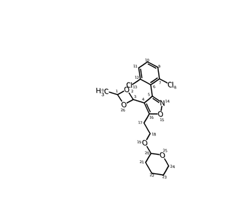 CC1OC(c2c(-c3c(Cl)cccc3Cl)noc2CCOC2CCCCO2)O1